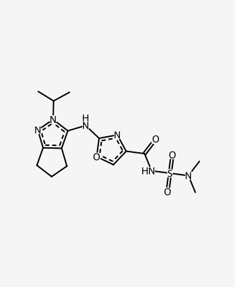 CC(C)n1nc2c(c1Nc1nc(C(=O)NS(=O)(=O)N(C)C)co1)CCC2